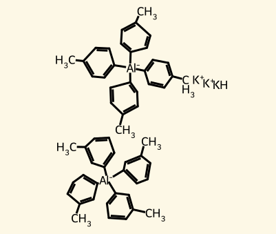 Cc1cc[c]([Al-]([c]2ccc(C)cc2)([c]2ccc(C)cc2)[c]2ccc(C)cc2)cc1.Cc1ccc[c]([Al-]([c]2cccc(C)c2)([c]2cccc(C)c2)[c]2cccc(C)c2)c1.[K+].[K+].[KH]